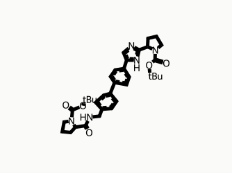 CC(C)(C)OC(=O)N1CCCC1C(=O)NCc1ccc(-c2ccc(-c3cnc(C4CCCN4C(=O)OC(C)(C)C)[nH]3)cc2)cc1